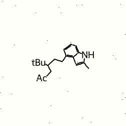 CC(=O)CC(CCc1cccc2[nH]c(C)cc12)C(C)(C)C